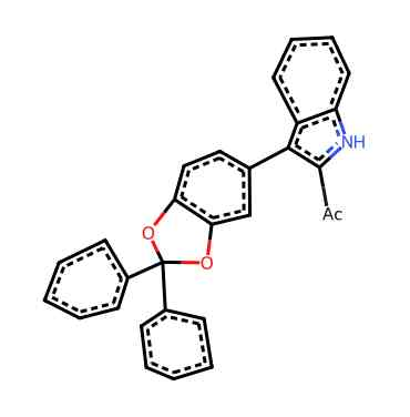 CC(=O)c1[nH]c2ccccc2c1-c1ccc2c(c1)OC(c1ccccc1)(c1ccccc1)O2